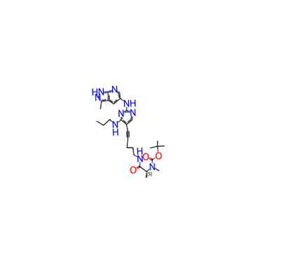 CCCNc1nc(Nc2cnc3[nH]nc(C)c3c2)ncc1C#CCCCNC(=O)[C@H](C)N(C)C(=O)OC(C)(C)C